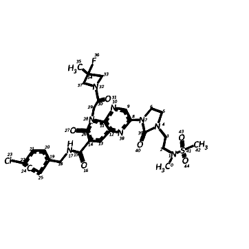 CN(CCN1CCN(c2cnc3c(cc(C(=O)NCc4ccc(Cl)cc4)c(=O)n3CC(=O)N3CC(C)(F)C3)n2)C1=O)S(C)(=O)=O